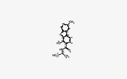 Cc1cc2c(cn1)sc1c(O)c(C(=O)N[C@@H](C)C(=O)O)ncc12